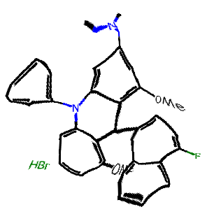 Br.COc1cccc2c1C(c1ccc(F)c3ccccc13)c1c(OC)cc(N(C)C)cc1N2c1ccccc1